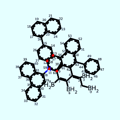 BC/C(B)=C(\C(B)=C(\B)C(=C)N(c1ccc(-c2cccc3ccccc23)cc1)c1cc2ccccc2c2ccccc12)c1c(-c2ccccc2)c2ccccc2c2ccccc12